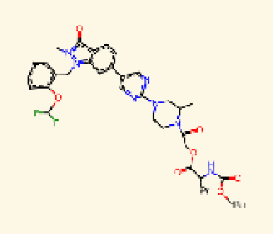 CC(C)C(NC(=O)OC(C)(C)C)C(=O)OCC(=O)N1CCN(c2ncc(-c3ccc4c(=O)n(C)n(Cc5ccccc5OC(F)F)c4c3)cn2)CC1C